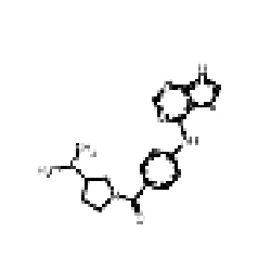 CN(C)C1CCN(C(=O)c2ccc(Nc3ncnc4[nH]cnc34)cc2)C1